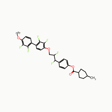 CCCOc1ccc(-c2ccc(OCC(F)C(F)c3ccc(OC(=O)C4CCC(C)CC4)cc3)c(F)c2F)c(F)c1F